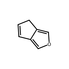 C1=Cc2cocc2C1